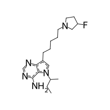 CCC(C)n1cc(CCCCCN2CCC(F)C2)c2ncnc(N)c21